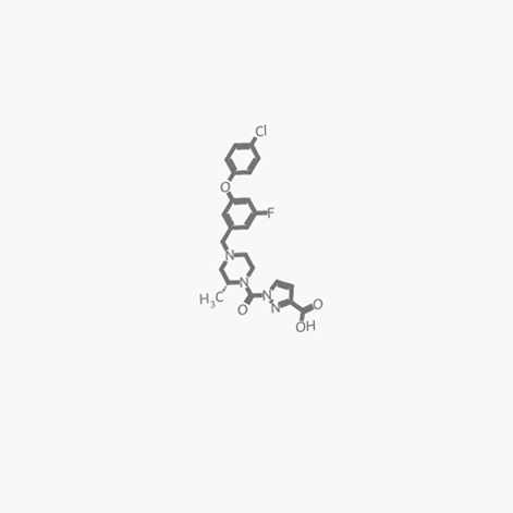 C[C@@H]1CN(Cc2cc(F)cc(Oc3ccc(Cl)cc3)c2)CCN1C(=O)n1ccc(C(=O)O)n1